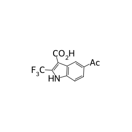 CC(=O)c1ccc2[nH]c(C(F)(F)F)c(C(=O)O)c2c1